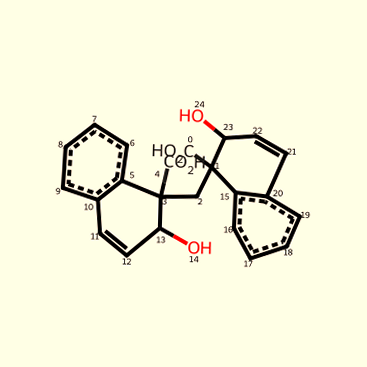 O=C(O)C1(CC2(C(=O)O)c3ccccc3C=CC2O)c2ccccc2C=CC1O